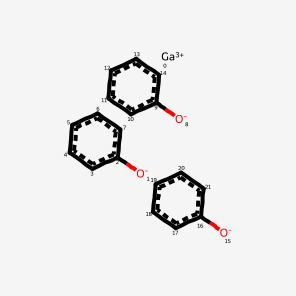 [Ga+3].[O-]c1ccccc1.[O-]c1ccccc1.[O-]c1ccccc1